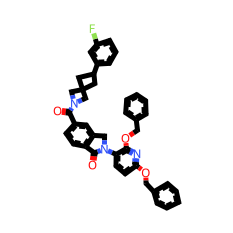 O=C(c1ccc2c(c1)CN(c1ccc(OCc3ccccc3)nc1OCc1ccccc1)C2=O)N1CC2(CC(c3cccc(F)c3)C2)C1